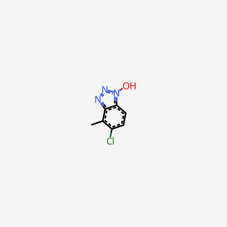 Cc1c(Cl)ccc2c1nnn2O